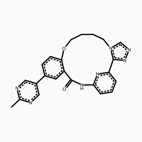 Cc1ncc(-c2ccc3c(c2)C(=O)Nc2cccc(n2)-c2nncn2CCCCO3)cn1